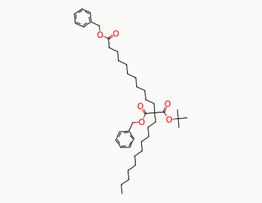 CCCCCCCCCCCC(CCCCCCCCCCC(=O)OCc1ccccc1)(C(=O)OCc1ccccc1)C(=O)OC(C)(C)C